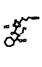 CNCCSc1nnc(C(=O)[C@H](CC(C)C)N(C=O)C2CCCCCC2)o1.Cl